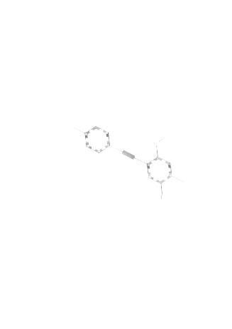 COc1cc(C)c(F)cc1C#Cc1ccc(C)cc1